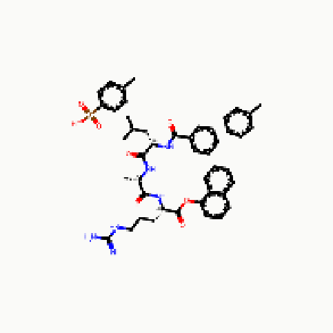 CC(C)C[C@H](NC(=O)c1ccccc1)C(=O)N[C@@H](C)C(=O)N[C@@H](CCCNC(=N)N)C(=O)Oc1cccc2ccccc12.Cc1ccc(S(=O)(=O)O)cc1.Cc1ccccc1